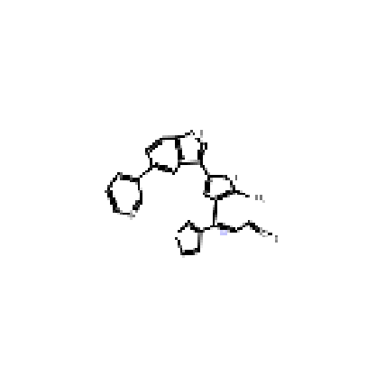 C=C/C=C(/c1ccsc1)c1cc(-c2n[nH]c3ccc(-c4cccnc4)cc23)[nH]c1C